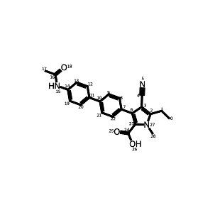 CCc1c(C#N)c(-c2ccc(-c3ccc(NC(C)=O)cc3)cc2)c(C(=O)O)n1C